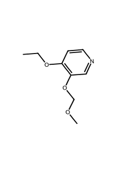 CCOc1ccncc1OCOC